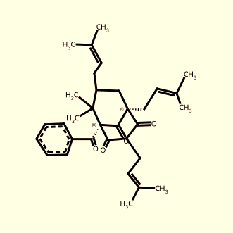 CC(C)=CCC1C(=O)[C@]2(CC=C(C)C)CC(CC=C(C)C)C(C)(C)[C@](C(=O)c3ccccc3)(C1=O)C2=O